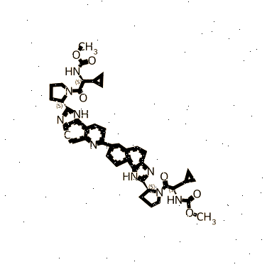 COC(=O)N[C@H](C(=O)N1CCC[C@H]1c1nc2ccc3cc(-c4ccc5c(ccc6nc([C@@H]7CCCN7C(=O)[C@@H](NC(=O)OC)C7CC7)[nH]c65)n4)ccc3c2[nH]1)C1CC1